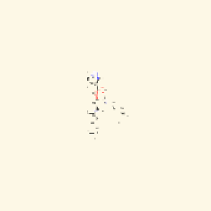 CC(C)=CCC/C(C)=C/CC(/C=C(\C)CCC=C(C)C)OC(=O)c1cccnc1